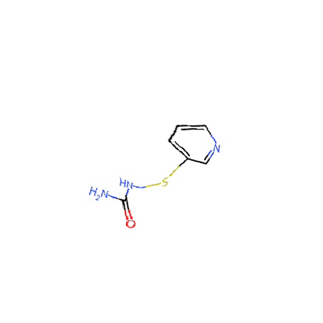 NC(=O)NSc1cccnc1